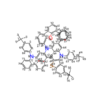 CC(C)(C)c1ccc(N(c2ccc3c(c2)N(c2cccc4c2oc2c(-c5ccccc5)cccc24)c2cc(-c4ccccc4)cc4c2B3c2sc3ccc(C(C)(C)C)cc3c2N4c2ccc(C(C)(C)C)cc2)c2ccccc2-c2ccccc2)cc1